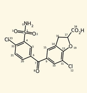 NS(=O)(=O)c1cc(C(=O)c2cc(Cl)c3c(c2)CC(C(=O)O)O3)ccc1Cl